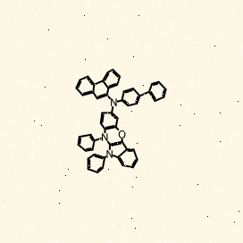 c1ccc(-c2ccc(N(c3ccc4c(c3)Oc3c(n(-c5ccccc5)c5ccccc35)N4c3ccccc3)c3cc4ccccc4c4ccccc34)cc2)cc1